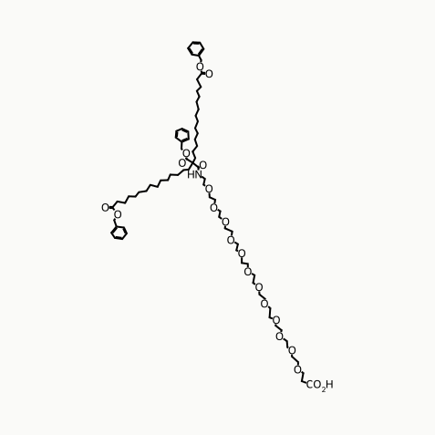 O=C(O)CCOCCOCCOCCOCCOCCOCCOCCOCCOCCOCCOCCOCCNC(=O)C(CCCCCCCCCCCCCCC(=O)OCc1ccccc1)(CCCCCCCCCCCCCCC(=O)OCc1ccccc1)C(=O)OCc1ccccc1